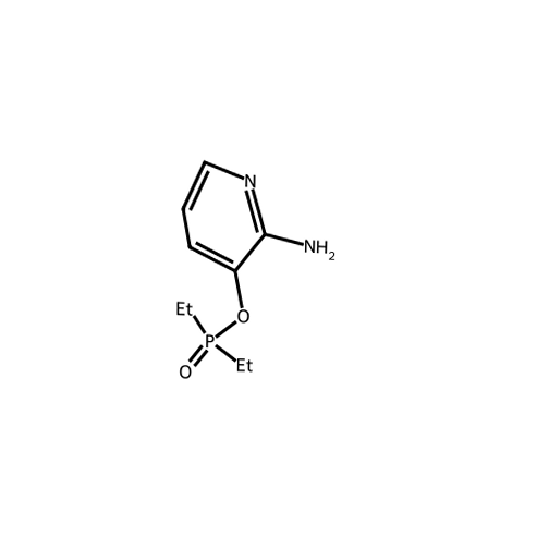 CCP(=O)(CC)Oc1cccnc1N